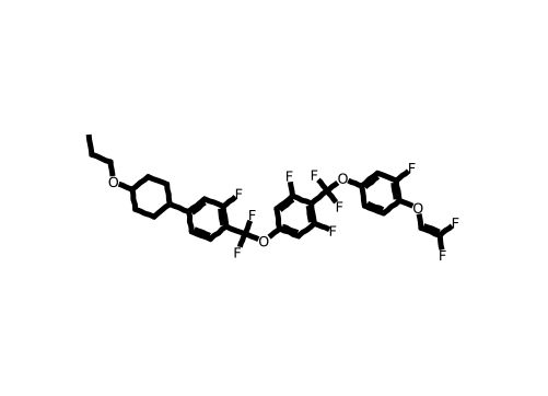 CCCOC1CCC(c2ccc(C(F)(F)Oc3cc(F)c(C(F)(F)Oc4ccc(OC=C(F)F)c(F)c4)c(F)c3)c(F)c2)CC1